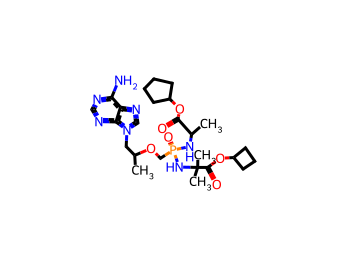 CC(Cn1cnc2c(N)ncnc21)OCP(=O)(NC(C)C(=O)OC1CCCC1)NC(C)(C)C(=O)OC1CCC1